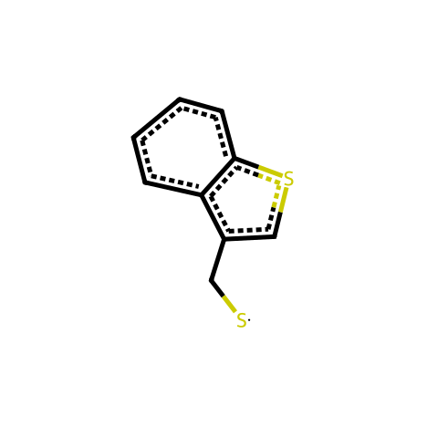 [S]Cc1csc2ccccc12